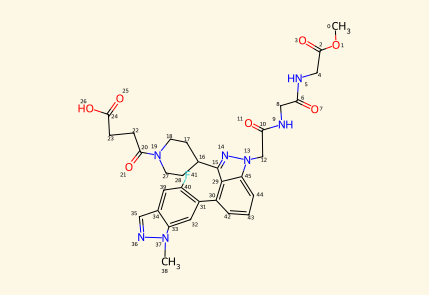 COC(=O)CNC(=O)CNC(=O)Cn1nc(C2CCN(C(=O)CCC(=O)O)CC2)c2c(-c3cc4c(cnn4C)cc3F)cccc21